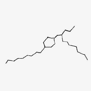 CCCCCCCCCC1CCN(CC(CCC)CCCCCCC)CC1